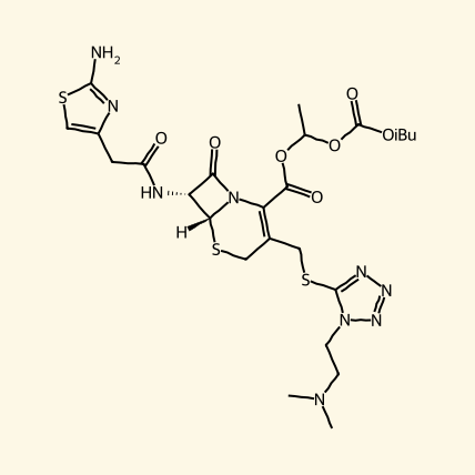 CC(C)COC(=O)OC(C)OC(=O)C1=C(CSc2nnnn2CCN(C)C)CS[C@@H]2[C@H](NC(=O)Cc3csc(N)n3)C(=O)N12